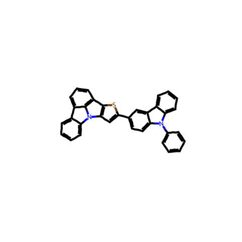 c1ccc(-n2c3ccccc3c3cc(-c4cc5c(s4)c4cccc6c7ccccc7n5c64)ccc32)cc1